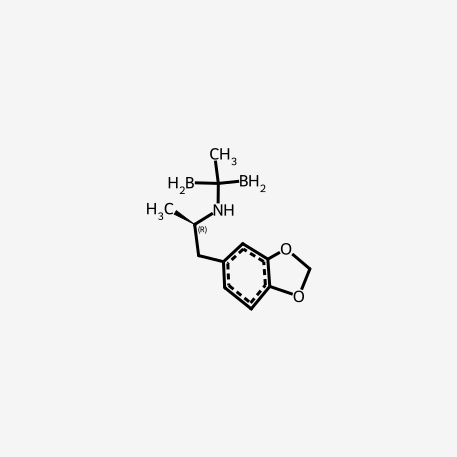 BC(B)(C)N[C@H](C)Cc1ccc2c(c1)OCO2